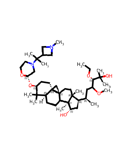 CCO[C@@H](C(C[C@@H](C)[C@H]1C[C@H](O)[C@@]2(C)C3CC[C@H]4C(C)(C)[C@@H](O[C@H]5CN(C(C)(C)C6CN(C)C6)CCO5)CC[C@@]45C[C@@]35CC[C@]12C)OC)C(C)(C)O